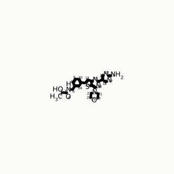 C[C@H](O)C(=O)NCc1cccc(-c2cc3nc(-c4cnc(N)nc4)nc(N4CCOCC4)c3s2)c1